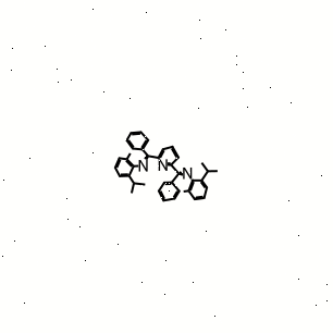 Cc1cccc(C(C)C)c1N=C(c1ccccc1)c1cccc(C(=Nc2c(C)cccc2C(C)C)c2ccccc2)n1